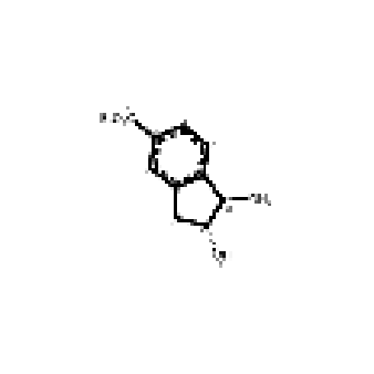 CCOC(=O)c1ccc2c(c1)C[C@@H](O)[C@@H]2N